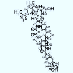 Cc1ncsc1-c1ccc([C@H](C)NC(=O)[C@@H]2C[C@@H](O)CN2C(=O)[C@@H](NC(=O)CNC(=O)CC(=O)N2CCN(C(=O)[C@@H](NC(=O)c3cc4cc(C(F)(F)P(=O)(O)O)ccc4s3)C(C)(C)C)[C@H](C(=O)N3CCC[C@H](c4ccccc4)C3)C2)C(C)(C)C)cc1